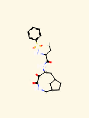 CC(C)CC(NS(=O)(=O)c1ccccc1)C(=O)NC1CC2CCC(CNC(=O)C1=O)C2